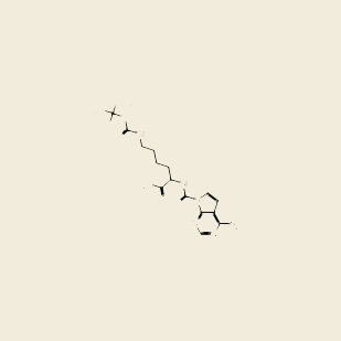 CNc1ncnc2c1ccn2C(=O)NC(CCCCNC(=O)OC(C)(C)C)C(=O)OC